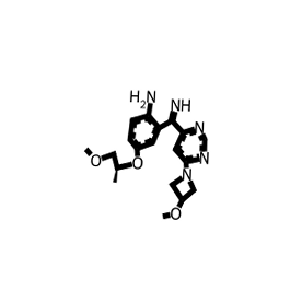 COC[C@H](C)Oc1ccc(N)c(C(=N)c2cc(N3CC(OC)C3)ncn2)c1